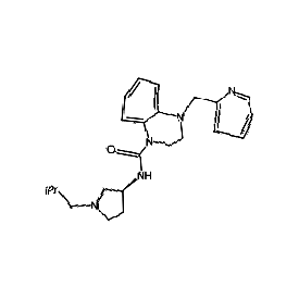 CC(C)CN1CC[C@H](NC(=O)N2CCN(Cc3ccccn3)c3ccccc32)C1